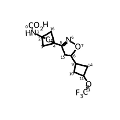 O=C(O)NC12CC(C3=NOC(C4CC(OC(F)(F)F)C4)C3)(C1)C2